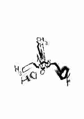 CCCCc1nc2c([nH]1)C1=NC(Cc3ccc(F)cc3)CN1C(=O)N2CCC.Cl